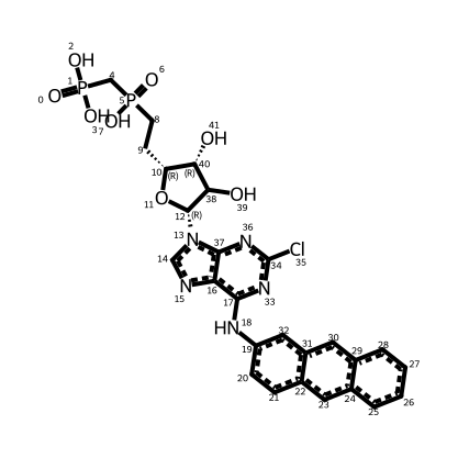 O=P(O)(O)CP(=O)(O)CC[C@H]1O[C@@H](n2cnc3c(Nc4ccc5cc6ccccc6cc5c4)nc(Cl)nc32)C(O)[C@H]1O